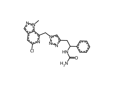 Cn1ncc2cc(Cl)nc(Cn3cc(CC(NC(N)=O)c4ccccc4)nn3)c21